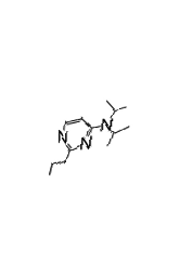 CCCc1nccc(N(C(C)C)C(C)C)n1